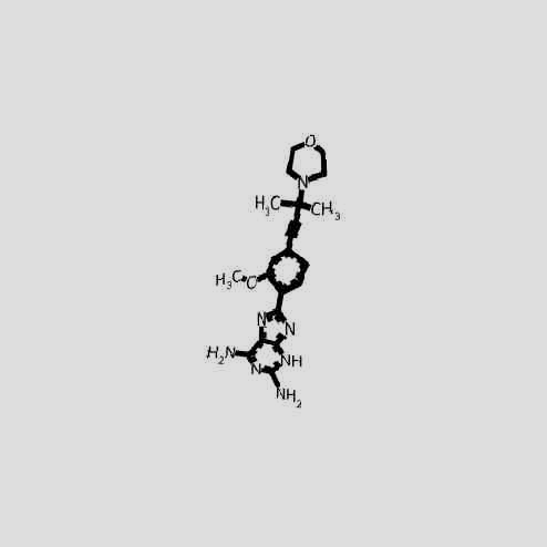 COc1cc(C#CC(C)(C)N2CCOCC2)ccc1-c1nc2[nH]c(N)nc(N)c-2n1